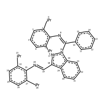 CC(C)c1cccc(C(C)C)c1/N=C(/c1ccccc1)n1nc(/C=N/c2c(C(C)C)cccc2C(C)C)c2ccccc21